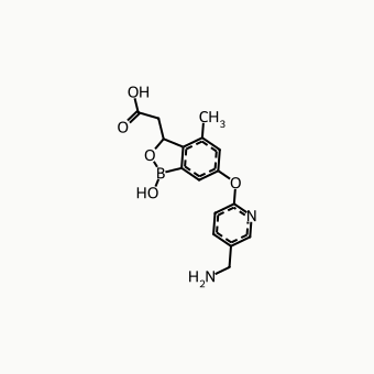 Cc1cc(Oc2ccc(CN)cn2)cc2c1C(CC(=O)O)OB2O